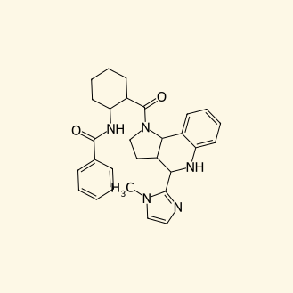 Cn1ccnc1C1Nc2ccccc2C2C1CCN2C(=O)C1CCCCC1NC(=O)c1ccccc1